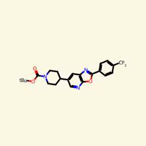 CC(C)(C)OC(=O)N1CCC(c2cnc3oc(-c4ccc(C(F)(F)F)cc4)nc3c2)CC1